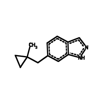 CC1(Cc2ccc3cn[nH]c3c2)CC1